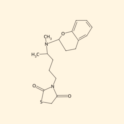 CC(CCCN1C(=O)CSC1=O)N(C)C1CCc2ccccc2O1